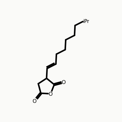 CC(C)CCCCCC=CC1CC(=O)OC1=O